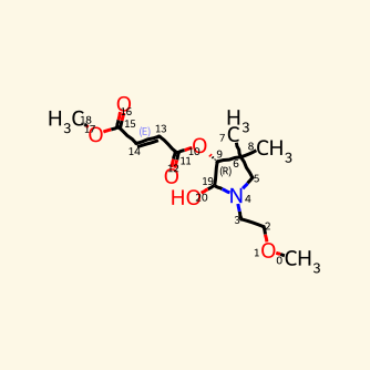 COCCN1CC(C)(C)[C@@H](OC(=O)/C=C/C(=O)OC)C1O